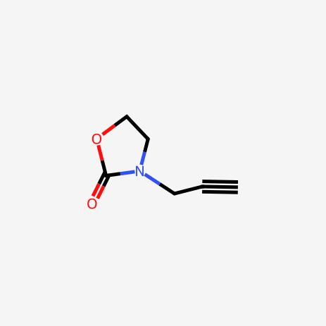 C#CCN1CCOC1=O